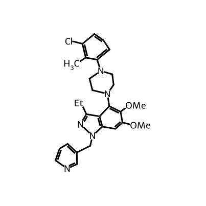 CCc1nn(Cc2cccnc2)c2cc(OC)c(OC)c(N3CCN(c4cccc(Cl)c4C)CC3)c12